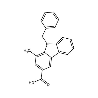 Cc1cc(C(=O)O)cc2c3ccccc3n(Cc3ccccc3)c12